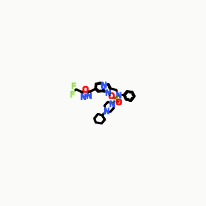 O=S(=O)(N1CCN(C2CCCCC2)CC1)N(Cc1cn2ccc(-c3nnc(C(F)F)o3)cc2n1)c1ccccc1